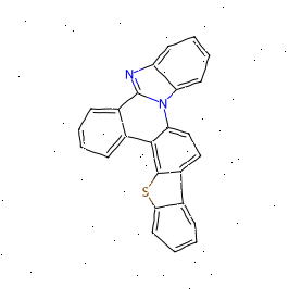 c1ccc2c(c1)nc1c3ccccc3c3c4sc5ccccc5c4ccc3n21